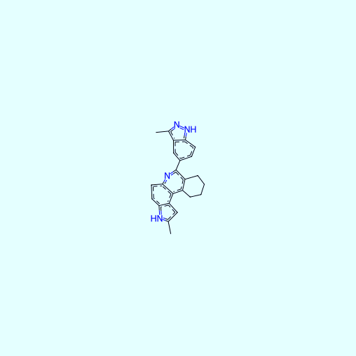 Cc1cc2c(ccc3nc(-c4ccc5[nH]nc(C)c5c4)c4c(c32)CCCC4)[nH]1